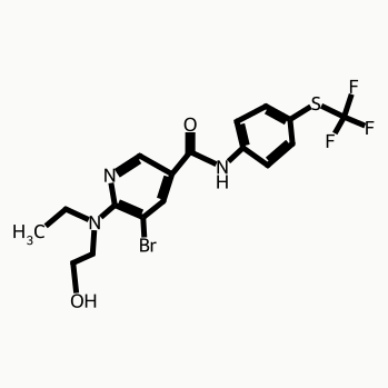 CCN(CCO)c1ncc(C(=O)Nc2ccc(SC(F)(F)F)cc2)cc1Br